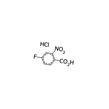 Cl.O=C(O)c1ccc(F)cc1[N+](=O)[O-]